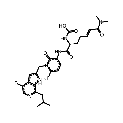 CC(C)Cc1ncc(F)c2cc(Cn3c(Cl)ccc(NC(=O)[C@H](CC/C=C/C(=O)N(C)C)NC(=O)O)c3=O)[nH]c12